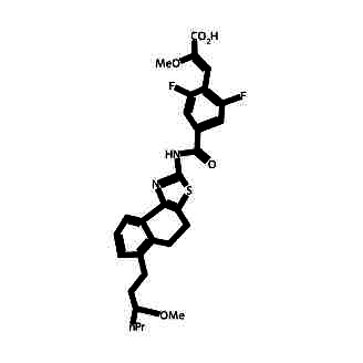 CCCC(CCc1cccc2c1CCc1sc(NC(=O)c3cc(F)c(/C=C(\OC)C(=O)O)c(F)c3)nc1-2)OC